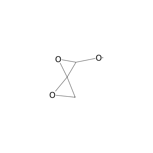 [O]C1OC12CO2